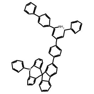 N/C(=C\C(=C/Cc1ccccc1)c1ccc(-c2ccc3c(c2)C2(c4ccccc4-3)c3ccccc3N(c3ccccc3)c3ccccc32)cc1)c1ccc(-c2ccccc2)cc1